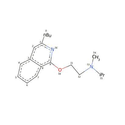 CCCCc1cc2ccccc2c(OCCN(C)C(C)C)n1